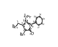 CCCn1c(CBr)c(Br)c(=O)n1-c1ccccc1